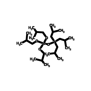 CC(C)C[O][Zr]([O]CC(C)C)([O]CC(C)C)[O][Si](CC(C)C)(CC(C)C)CC(C)C